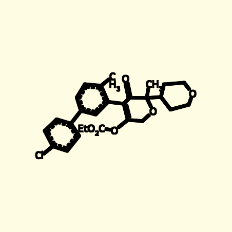 CCOC(=O)OC1=C(c2cc(-c3ccc(Cl)cc3)ccc2C)C(=O)C(C)(C2CCOCC2)OC1